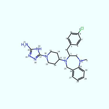 CN1CC(Cc2ccc(Cl)cc2)N(C2CCN(c3nnc(N)[nH]3)CC2)Cc2ccccc21